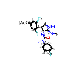 C/N=C1\NC[C@@H](c2c(F)cc(OC)cc2F)[C@@H]1NC(=O)Nc1ccc(F)cc1